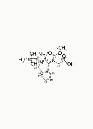 COC(=O)C(=Cc1cnc(C(C)(C)C)n1Cc1ccccc1)CC(=O)O